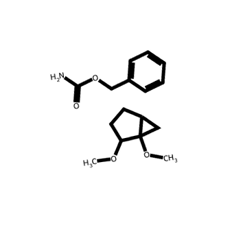 COC1CCC2CC21OC.NC(=O)OCc1ccccc1